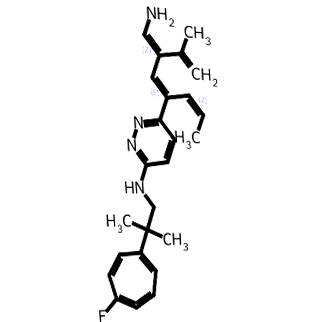 C=C(C)C(=C\N)/C=C(\C=C/C)c1ccc(NCC(C)(C)C2=CC=C=C(F)C=C2)nn1